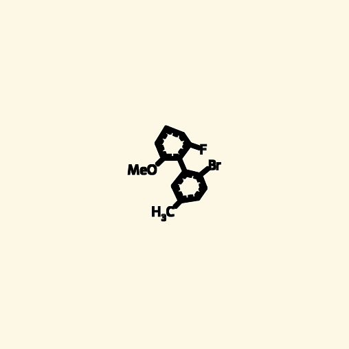 COc1cccc(F)c1-c1cc(C)ccc1Br